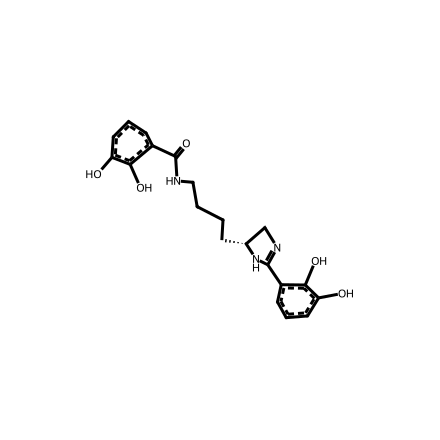 O=C(NCCCC[C@@H]1CN=C(c2cccc(O)c2O)N1)c1cccc(O)c1O